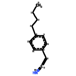 CCCCc1ccc(C=C=N)cc1